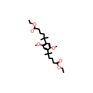 CCOC(=O)CCCC(C)(C)c1cc(OC)c(C(C)(C)CCCC(=O)OCC)cc1OC